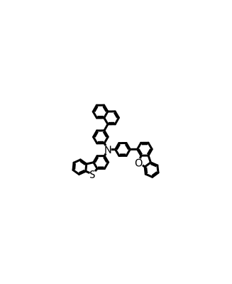 c1cc(-c2cccc3ccccc23)cc(N(c2ccc(-c3cccc4c3oc3ccccc34)cc2)c2ccc3sc4ccccc4c3c2)c1